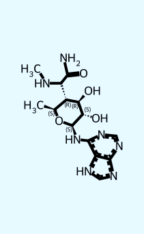 CNC(C(N)=O)[C@@H]1[C@@H](O)[C@H](O)[C@@H](Nc2ncnc3nc[nH]c23)O[C@H]1C